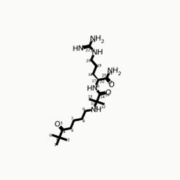 CC(C)(C)C(=O)CCCCNC(C)(C)C(=O)N[C@@H](CCCNC(=N)N)C(N)=O